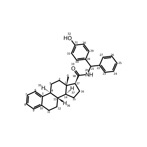 C[C@]12CC[C@@H]3c4ccccc4CC[C@H]3[C@@H]1CC[C@@H]2C(=O)NC(c1ccccc1)c1ccc(O)cc1